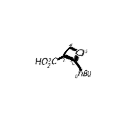 CCCCC1=C(C(=O)O)CO1